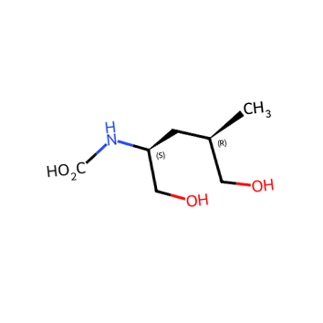 C[C@@H](CO)C[C@@H](CO)NC(=O)O